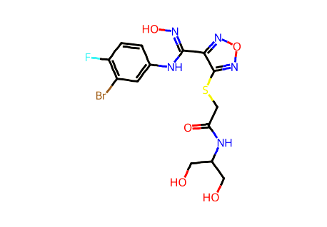 O=C(CSc1nonc1/C(=N/O)Nc1ccc(F)c(Br)c1)NC(CO)CO